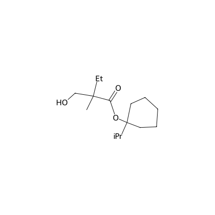 CCC(C)(CO)C(=O)OC1(C(C)C)CCCCC1